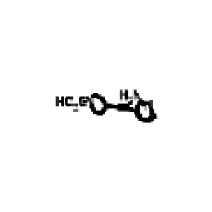 Nc1ncccc1C#CC1CCN(C(=O)O)CC1